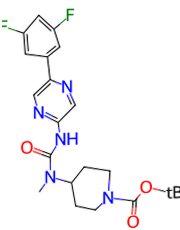 CN(C(=O)Nc1cnc(-c2cc(F)cc(F)c2)cn1)C1CCN(C(=O)OC(C)(C)C)CC1